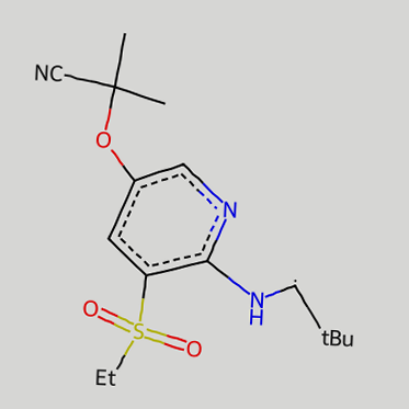 CCS(=O)(=O)c1cc(OC(C)(C)C#N)cnc1N[CH]C(C)(C)C